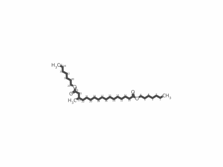 CCCCCCCOC(=O)CCCCCCCCCCCCCC(C)CC(=O)OCCCCCCC